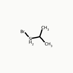 CC(C)[SiH2]Br